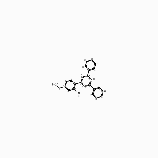 OCc1ccc(-c2nc(-c3ccccc3)nc(-c3ccccc3)n2)c(O)c1